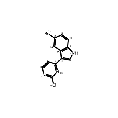 Clc1nccc(-c2c[nH]c3ccc(Br)cc23)n1